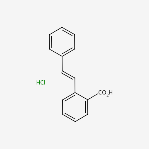 Cl.O=C(O)c1ccccc1C=Cc1ccccc1